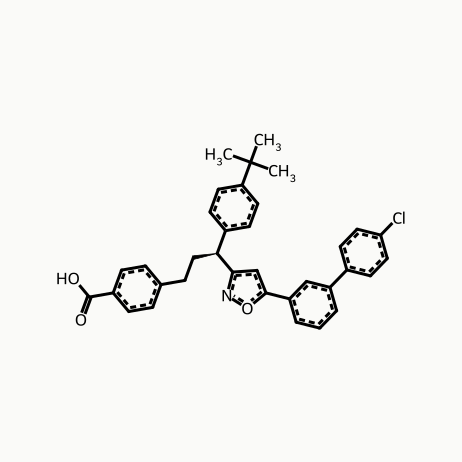 CC(C)(C)c1ccc([C@H](CCc2ccc(C(=O)O)cc2)c2cc(-c3cccc(-c4ccc(Cl)cc4)c3)on2)cc1